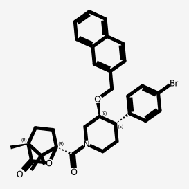 CC1(C)[C@@]2(C)CC[C@@]1(C(=O)N1CC[C@@H](c3ccc(Br)cc3)[C@H](OCc3ccc4ccccc4c3)C1)OC2=O